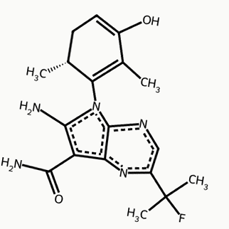 CC1=C(n2c(N)c(C(N)=O)c3nc(C(C)(C)F)cnc32)[C@H](C)CC=C1O